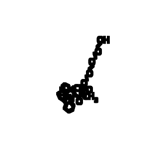 CC[C@@]12C=C(C(=O)N(C)CC(=O)OCCOCCOCCOCCO)n3c4c(c5ccccc53)CCN(CCC1)[C@H]42